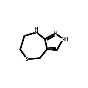 c1[nH]nc2c1CSCCN2